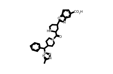 Cc1nnn(C(c2ccccc2)C2CCN(C(=O)C3CC(c4nc5cc(C(=O)O)ccc5o4)CCN3)CC2)n1